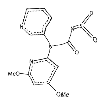 COc1cc(OC)nc(N(C(=O)N=S(=O)=O)c2cccnc2)c1